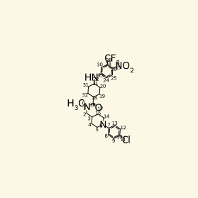 CN(CC1CCN(c2ccc(Cl)cc2)CC1)C(=O)C1CCC(Nc2ccc([N+](=O)[O-])c(C(F)(F)F)c2)CC1